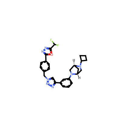 FC(F)c1nnc(-c2ccc(Cn3cc(-c4cccc(N5C[C@@H]6C[C@H]5CN6C5CCC5)c4)nn3)cc2)o1